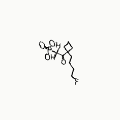 CC(C)(C(=O)C1(CCCCF)CCC1)P(=O)(O)O